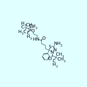 CC(C)(C)C(=O)N1N=C(N)SC1(CCCC(=O)NCCO[Si](C)(C)C(C)(C)C)c1ccccc1